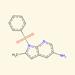 Cc1cc2cc(N)cnc2n1S(=O)(=O)c1ccccc1